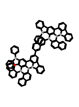 c1ccc(-n2c3ccccc3c3c4c5c(cc32)-c2cc(-c3ccc6ccc(N7c8ccc9ccccc9c8B8c9c(cc%10c%11ccccc%11n(-c%11ccccc%11)c%10c97)-c7cccc9c%10ccccc%10n8c79)cc6c3)cc3c6ccccc6n(c23)B5c2ccc3ccccc3c2N4c2cccc3ccccc23)cc1